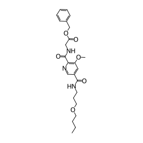 CCCCOCCCNC(=O)c1cnc(C(=O)NCC(=O)OCc2ccccc2)c(OC)c1